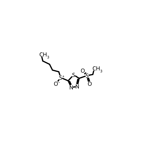 CCCCC[S+]([O-])c1nnc(S(=O)(=O)CC)s1